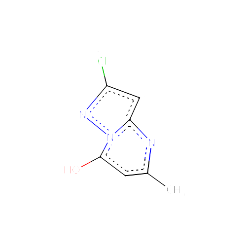 Cc1cc(O)n2nc(Cl)cc2n1